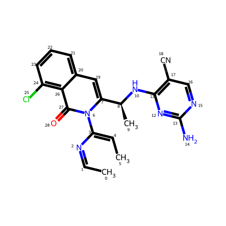 C/C=N\C(=C/C)n1c([C@H](C)Nc2nc(N)ncc2C#N)cc2cccc(Cl)c2c1=O